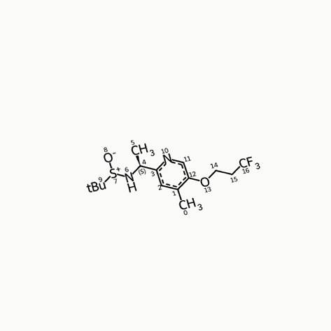 Cc1cc([C@H](C)N[S+]([O-])C(C)(C)C)ncc1OCCC(F)(F)F